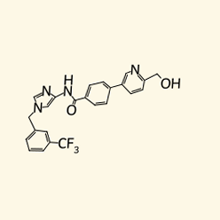 O=C(Nc1cn(Cc2cccc(C(F)(F)F)c2)cn1)c1ccc(-c2ccc(CO)nc2)cc1